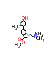 COC(=O)c1cn(CCN(C)C)c2cc(-c3ccc(O)cc3C)ccc12